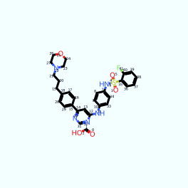 O=CO.O=S(=O)(Nc1ccc(Nc2cc(-c3ccc(CCCN4CCOCC4)cc3)ncn2)cc1)c1ccccc1F